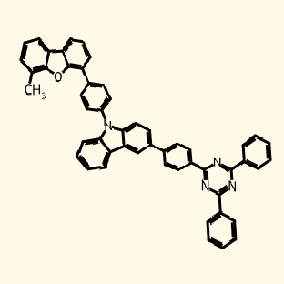 Cc1cccc2c1oc1c(-c3ccc(-n4c5ccccc5c5cc(-c6ccc(-c7nc(-c8ccccc8)nc(-c8ccccc8)n7)cc6)ccc54)cc3)cccc12